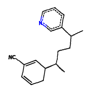 CC(CCC(C)C1C=C(C#N)C=CC1)c1cccnc1